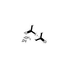 CC(=O)F.CC(C)=O.O.[Dy]